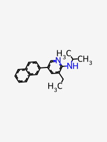 CCc1cc(-c2ccc3ccccc3c2)cnc1NC(C)C